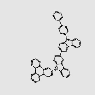 C1=CC2C3=CC(n4c5ccccc5c5cc(-c6ccc7c(c6)c6ccccc6n7-c6ccc(-c7ccccc7)cc6)ccc54)=CCC3c3ccccc3C2C=C1